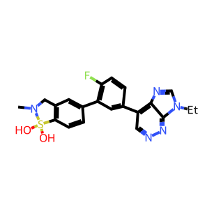 CCn1cnc2c(-c3ccc(F)c(-c4ccc5c(c4)CN(C)S5(O)O)c3)cnnc21